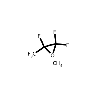 C.FC(F)(F)C1(F)OC1(F)F